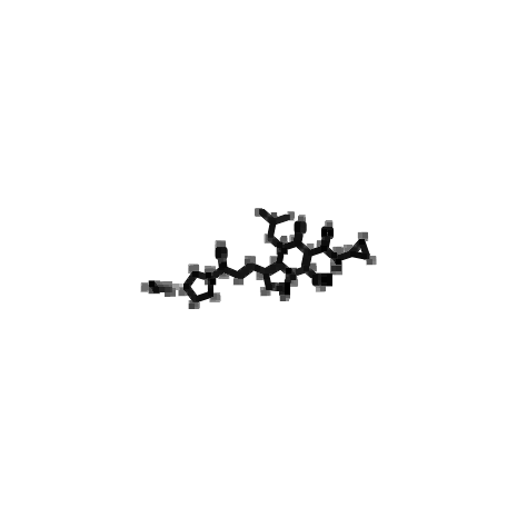 CC(C)Cn1c(=O)c(C(=O)NC2CC2)c(O)n2ncc(/C=C/C(=O)N3CC[C@H](C#N)C3)c12